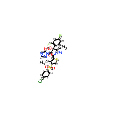 Cc1c(S(=O)(=O)c2ccc(Cl)cc2)csc1C(=O)N[C@H](C)[C@](O)(Cn1cncn1)c1ccc(F)cc1F